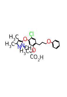 Cc1nn(C)c(Oc2cc(O[C@@H](C)C(=O)O)c(CCCOc3ccccc3)cc2Cl)c1C